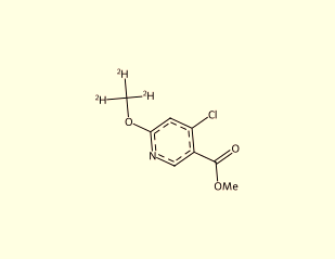 [2H]C([2H])([2H])Oc1cc(Cl)c(C(=O)OC)cn1